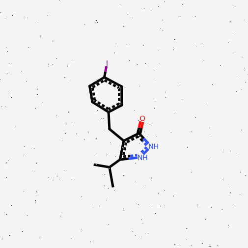 CC(C)c1[nH][nH]c(=O)c1Cc1ccc(I)cc1